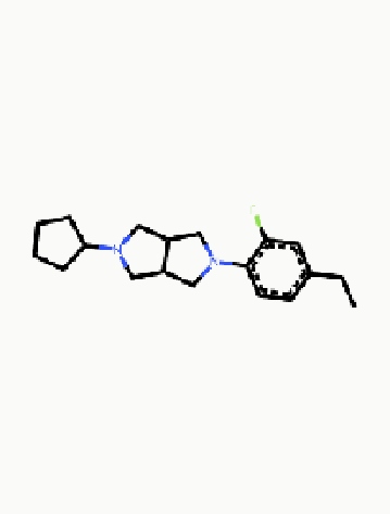 CCc1ccc(N2CC3CN(C4CCCC4)CC3C2)c(F)c1